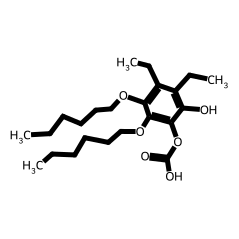 CCCCCCOc1c(CC)c(CC)c(O)c(OC(=O)O)c1OCCCCCC